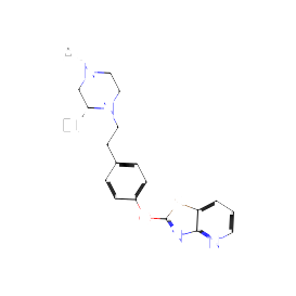 CC[C@H]1CN(C(C)=O)CCN1CCc1ccc(Oc2nc3ncccc3s2)cc1